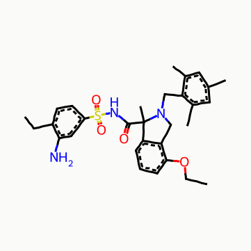 CCOc1cccc2c1CN(Cc1c(C)cc(C)cc1C)C2(C)C(=O)NS(=O)(=O)c1ccc(CC)c(N)c1